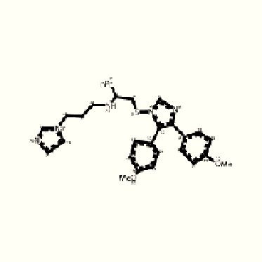 CCCC(CSn1cnc(-c2ccc(OC)cc2)c1-c1ccc(OC)cc1)NCCCn1ccnc1